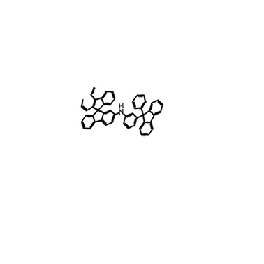 C=CC1=C(/C=C\C)C2(c3ccccc31)c1ccccc1-c1ccc(Nc3cccc(C4(c5ccccc5)c5ccccc5-c5ccccc54)c3)cc12